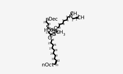 C#CCN(C)CCCCCCO[Si](C)(C)OC(CSSCCCCCCCCCCCC)OCCCCCCCC/C=C\CCCCCCCC